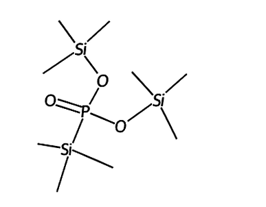 C[Si](C)(C)OP(=O)(O[Si](C)(C)C)[Si](C)(C)C